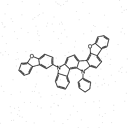 C1=CC(n2c3ccc4c5ccccc5oc4c3c3ccc4c(c5ccccc5n4-c4ccc5oc6ccccc6c5c4)c32)=CCC1